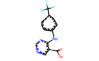 O=C(O)c1cncnc1Nc1ccc(C(F)(F)F)cc1